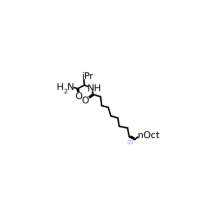 CCCCCCCC/C=C\CCCCCCCC(=O)NC(C(N)=O)C(C)C